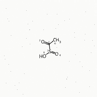 CC(=O)S(=O)O